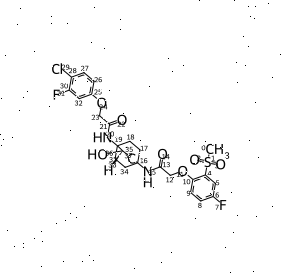 CS(=O)(=O)c1cc(F)ccc1OCC(=O)NC12CCC(NC(=O)COc3ccc(Cl)c(F)c3)(CC1)[C@@H](O)C2